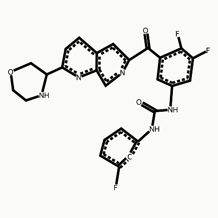 O=C(Nc1cccc(F)c1)Nc1cc(F)c(F)c(C(=O)c2cc3ccc(C4COCCN4)nc3cn2)c1